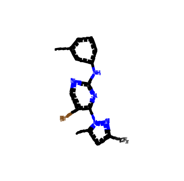 Cc1cccc(Nc2ncc(Br)c(-n3nc(C(F)(F)F)cc3C)n2)c1